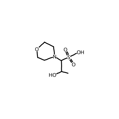 CC(O)C(N1CCOCC1)S(=O)(=O)O